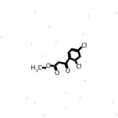 CCOC(=O)CC(=O)C1=CC=C(Cl)CC1Cl